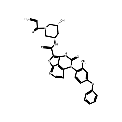 C=CC(=O)N1C[C@H](O)C[C@@H](NC(=O)c2sc3nccc4c3c2NC(=O)N4c2ccc(Oc3ccccc3)cc2C)C1